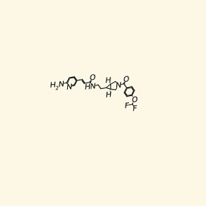 Nc1ccc(/C=C/C(=O)NCCC2[C@H]3CN(C(=O)c4ccc(OC(F)F)cc4)C[C@@H]23)cn1